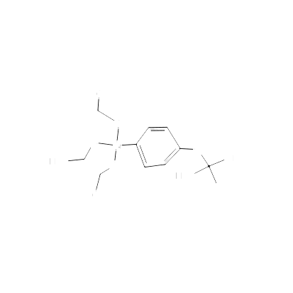 CCO[Si](OCC)(OCC)c1ccc(OC(C)(C)C)cc1